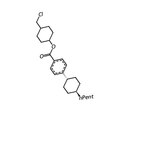 CCCCC[C@H]1CC[C@H](c2ccc(C(=O)OC3CCC(CCl)CC3)cc2)CC1